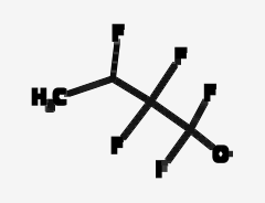 CC(F)C(F)(F)C([O])(F)F